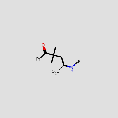 CC(C)N[C@@H](CC(C)(C)C(=O)C(C)C)C(=O)O